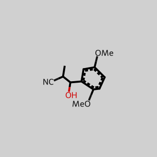 COc1ccc(OC)c(C(O)C(C)C#N)c1